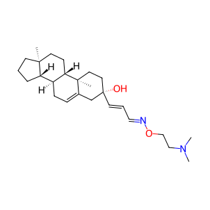 CN(C)CCO/N=C/C=C/[C@]1(O)CC[C@@]2(C)C(=CC[C@H]3[C@@H]4CCC[C@@]4(C)CC[C@@H]32)C1